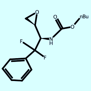 CCCCOC(=O)N[C@H]([C@H]1CO1)C(F)(F)c1ccccc1